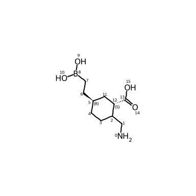 NCC1CC[C@@H](CCB(O)O)C[C@@H]1C(=O)O